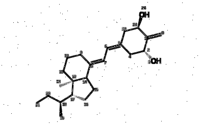 C=C1[C@H](O)CC(=C/C=C2\CCC[C@@]3(C)C2CC[C@@H]3[C@@H](C)CC)C[C@H]1O